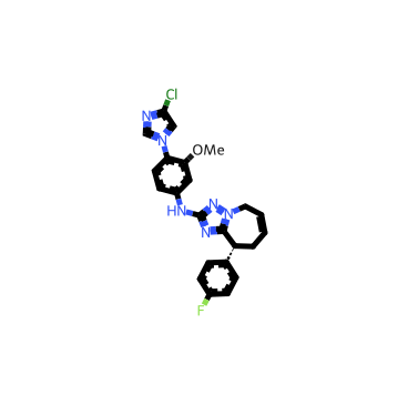 COc1cc(Nc2nc3n(n2)CC=CC[C@@H]3c2ccc(F)cc2)ccc1-n1cnc(Cl)c1